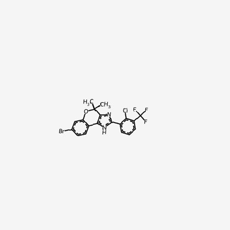 CC1(C)Oc2cc(Br)ccc2-c2[nH]c(-c3cccc(C(F)(F)F)c3Cl)nc21